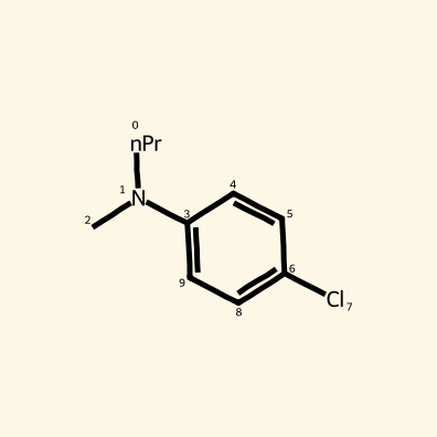 [CH2]CCN(C)c1ccc(Cl)cc1